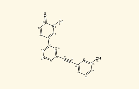 CC(C)n1cc(-c2cncc(C#Cc3cccc(O)c3)n2)ccc1=O